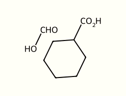 O=C(O)C1CCCCC1.O=CO